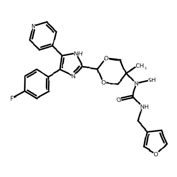 CC1(N(S)C(=O)NCc2ccoc2)COC(c2nc(-c3ccc(F)cc3)c(-c3ccncc3)[nH]2)OC1